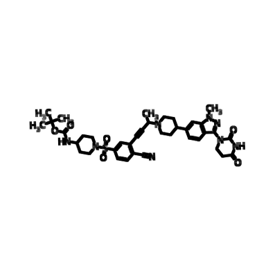 CC(C#Cc1cc(S(=O)(=O)N2CCC(NC(=O)OC(C)(C)C)CC2)ccc1C#N)N1CCC(c2ccc3c(N4CCC(=O)NC4=O)nn(C)c3c2)CC1